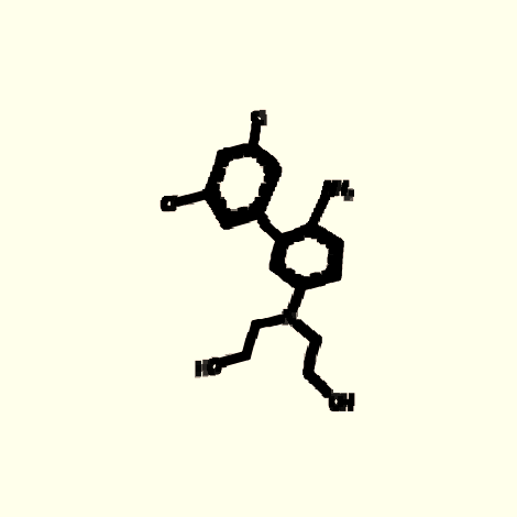 Nc1ccc(N(CCO)CCO)cc1-c1cc(Cl)cc(Cl)c1